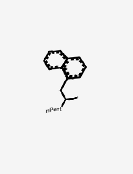 CCCCCC(C)[CH]c1cccc2ccccc12